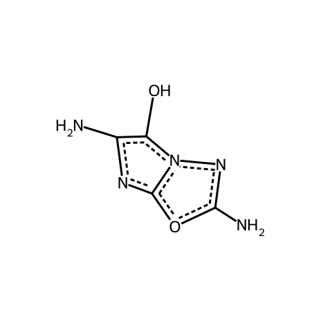 Nc1nn2c(O)c(N)nc2o1